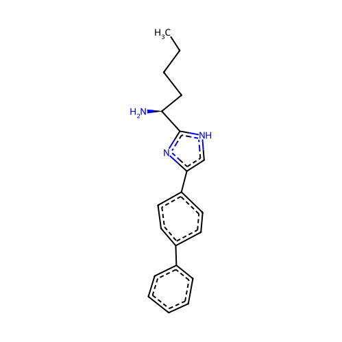 CCCC[C@H](N)c1nc(-c2ccc(-c3ccccc3)cc2)c[nH]1